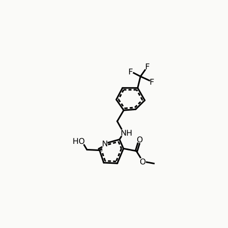 COC(=O)c1ccc(CO)nc1NCc1ccc(C(F)(F)F)cc1